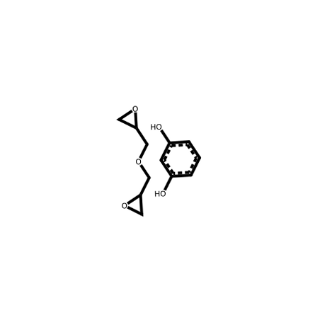 C(OCC1CO1)C1CO1.Oc1cccc(O)c1